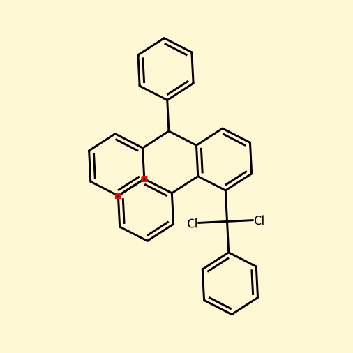 ClC(Cl)(c1ccccc1)c1cccc(C(c2ccccc2)c2ccccc2)c1-c1ccccc1